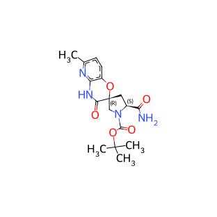 Cc1ccc2c(n1)NC(=O)[C@]1(C[C@@H](C(N)=O)N(C(=O)OC(C)(C)C)C1)O2